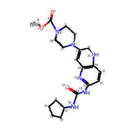 CC(C)(C)OC(=O)N1CCN(C2=Cc3nc(NC(=O)NC4CCCC4)ccc3NC2)CC1